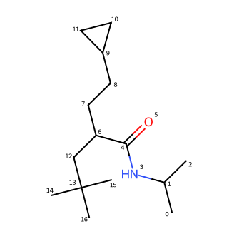 CC(C)NC(=O)C(CCC1CC1)CC(C)(C)C